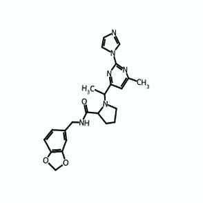 Cc1cc(C(C)N2CCCC2C(=O)NCc2ccc3c(c2)OCO3)nc(-n2ccnc2)n1